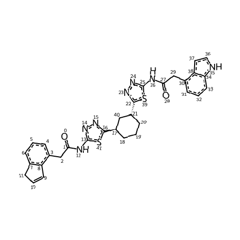 O=C(Cc1cccc2c1C=CC2)Nc1nnc([C@@H]2CCC[C@@H](c3nnc(NC(=O)Cc4cccc5[nH]ccc45)s3)C2)s1